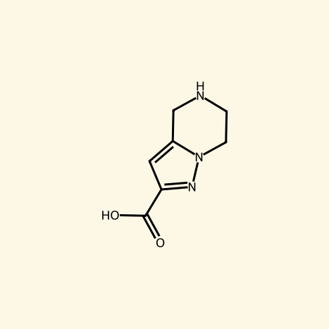 O=C(O)c1cc2n(n1)CCNC2